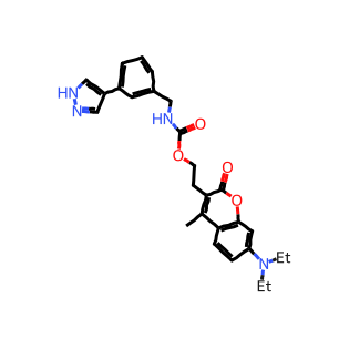 CCN(CC)c1ccc2c(C)c(CCOC(=O)NCc3cccc(-c4cn[nH]c4)c3)c(=O)oc2c1